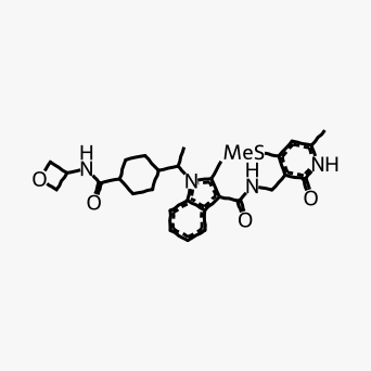 CSc1cc(C)[nH]c(=O)c1CNC(=O)c1c(C)n(C(C)C2CCC(C(=O)NC3COC3)CC2)c2ccccc12